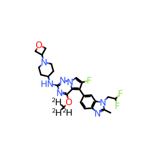 [2H]C([2H])([2H])Oc1nc(NC2CCN(C3COC3)CC2)nn2cc(F)c(-c3ccc4nc(C)n(CC(F)F)c4c3)c12